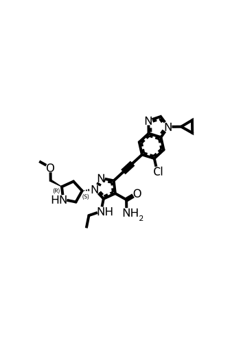 CCNc1c(C(N)=O)c(C#Cc2cc3ncn(C4CC4)c3cc2Cl)nn1[C@@H]1CN[C@@H](COC)C1